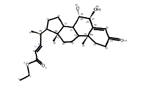 CCOC(=O)/C=C/[C@@H](C)C1CCC2C3C(CC[C@@]21C)[C@@]1(C)CCC(=O)C=C1[C@H](O)[C@H]3Cl